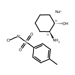 Cc1ccc(S(=O)(=O)[N-]Cl)cc1.N[C@H]1CCCC[C@@H]1O.[Na+]